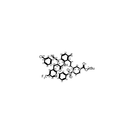 CC(C)(C)OC(=O)N1CCN(S(=O)(=O)c2ccccc2)[C@@H](CCc2c(F)cccc2NC(=O)[C@@H](N=[N+]=[N-])[C@@H](c2ccc(Cl)cc2)c2cncc(C(F)(F)F)c2)C1